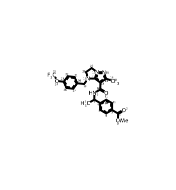 COC(=O)c1ccc(C(C)NC(=O)c2c(C(F)(F)F)nn3c2N(Cc2ccc(OC(F)(F)F)cc2)CC3)cc1